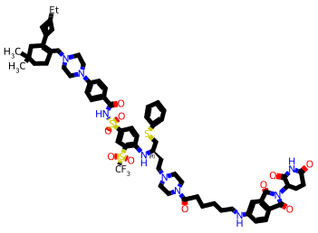 CCC12CC(C3=C(CN4CCN(c5ccc(C(=O)NS(=O)(=O)c6ccc(N[C@H](CCN7CCN(C(=O)CCCCCNc8ccc9c(c8)C(=O)N(C8CCC(=O)NC8=O)C9=O)CC7)CSc7ccccc7)c(S(=O)(=O)C(F)(F)F)c6)cc5)CC4)CCC(C)(C)C3)(C1)C2